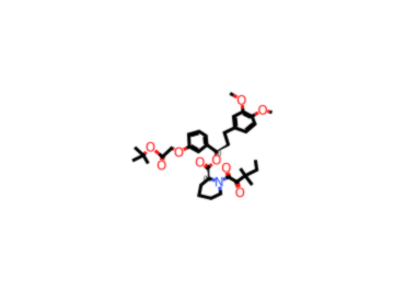 CCC(C)(C)C(=O)C(=O)N1CCCC[C@H]1C(=O)O[C@H](CCc1ccc(OC)c(OC)c1)c1cccc(OCC(=O)OC(C)(C)C)c1